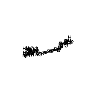 C[C@@H](NC(=O)c1cccc(NC2(C(=N)NC(=N)c3ccncc3)CCNCC2)c1)c1cccc(OCCCCCCOCCOCCOCCC(=O)N2CCN(c3cc4c(cc3F)C(=O)N(C3CCC(=O)NC3=O)C4=O)CC2)c1